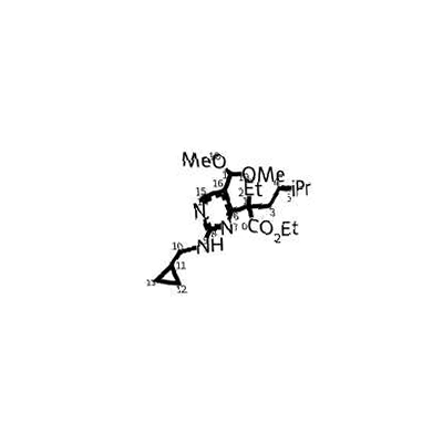 CCOC(=O)C(CC)(CCC(C)C)c1nc(NCC2CC2)ncc1C(OC)OC